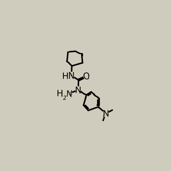 CN(C)c1ccc(N(N)C(=O)NC2CCCCC2)cc1